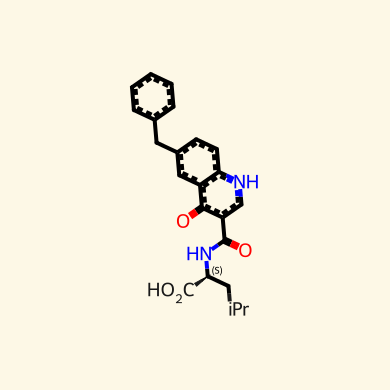 CC(C)C[C@H](NC(=O)c1c[nH]c2ccc(Cc3ccccc3)cc2c1=O)C(=O)O